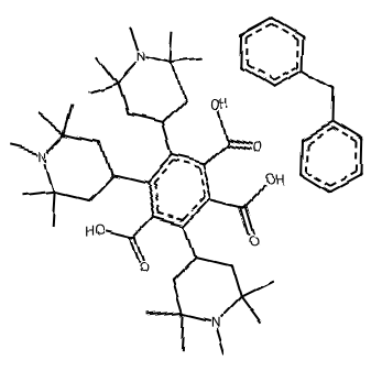 CN1C(C)(C)CC(c2c(C(=O)O)c(C(=O)O)c(C3CC(C)(C)N(C)C(C)(C)C3)c(C3CC(C)(C)N(C)C(C)(C)C3)c2C(=O)O)CC1(C)C.c1ccc(Cc2ccccc2)cc1